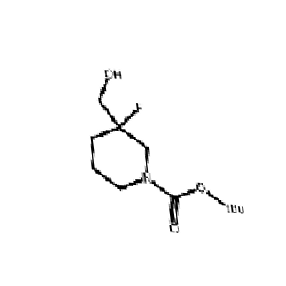 CC(C)(C)OC(=O)N1CCCC(F)(CO)C1